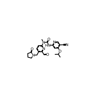 CC(C)Oc1cc(NC(=O)N(C)c2ccc(CN3CCCC3=O)c(C=O)n2)ncc1C#N